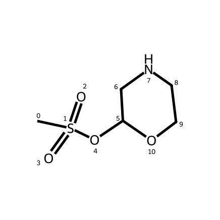 CS(=O)(=O)OC1CNCCO1